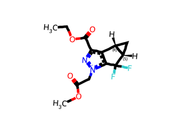 CCOC(=O)c1nn(CC(=O)OC)c2c1[C@@H]1C[C@@H]1C2(F)F